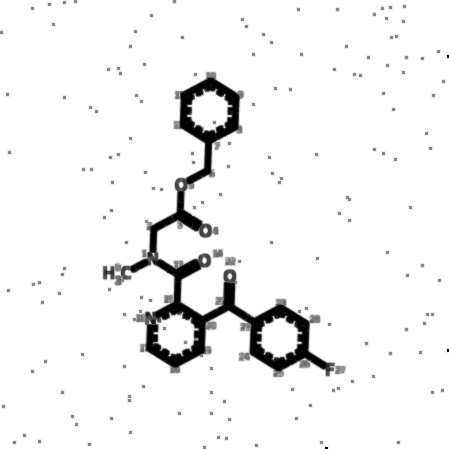 CN(CC(=O)OCc1ccccc1)C(=O)c1ncccc1C(=O)c1ccc(F)cc1